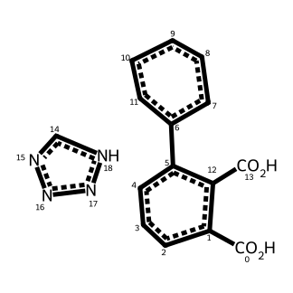 O=C(O)c1cccc(-c2ccccc2)c1C(=O)O.c1nnn[nH]1